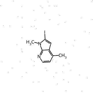 Cc1ccnc2c1cc(I)n2C